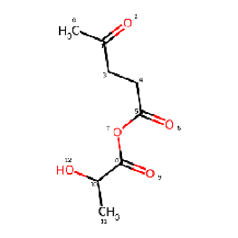 CC(=O)CCC(=O)OC(=O)C(C)O